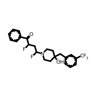 O=C(c1ccccc1)C(F)CC(F)N1CCC(O)(Cc2cccc(C(F)(F)F)c2)CC1